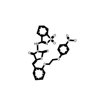 O=C1/C(=C/c2ccccc2OCCOc2ccc([N+](=O)[O-])cc2)SC(=S)N1NC1=NS(=O)(=O)c2ccccc21